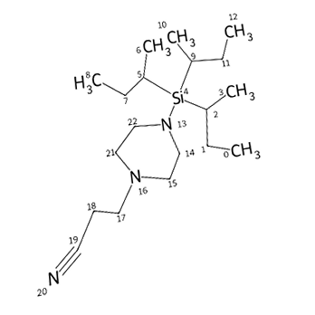 CCC(C)[Si](C(C)CC)(C(C)CC)N1CCN(CCC#N)CC1